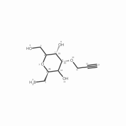 BC[C@H]1OC(CO)[C@H](O)[C@H](OCC#C)C1O